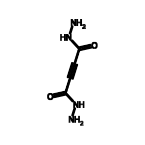 NNC(=O)C#CC(=O)NN